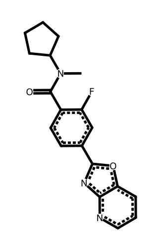 CN(C(=O)c1ccc(-c2nc3ncccc3o2)cc1F)C1CCCC1